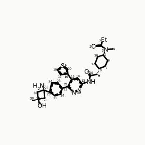 CCC(=O)N(C)[C@H]1CC[C@H](CC(=O)Nc2cc(-c3ccsc3)c(-c3ccc([C@]4(N)C[C@](C)(O)C4)cc3)nn2)CC1